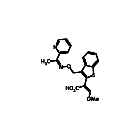 COC=C(C(=O)O)c1sc2ccccc2c1CON=C(C)c1ccccn1